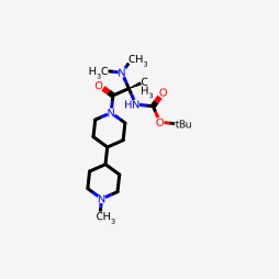 CN1CCC(C2CCN(C(=O)[C@@](C)(NC(=O)OC(C)(C)C)N(C)C)CC2)CC1